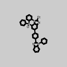 CCc1nc2cc(-c3ccc(-c4nc5ccccc5n4-c4ccccc4)cc3)cc3c2n1-c1ccccc1P3(=O)c1ccccc1